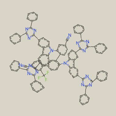 N#Cc1ccc(-c2cc(-c3ccc(C#N)cc3C(F)(F)F)ccc2-n2c3ccc(-c4nc(-c5ccccc5)nc(-c5ccccc5)n4)cc3c3cc(-c4nc(-c5ccccc5)nc(-c5ccccc5)n4)ccc32)c(-n2c3ccc(-c4nc(-c5ccccc5)nc(-c5ccccc5)n4)cc3c3cc(-c4nc(-c5ccccc5)nc(-c5ccccc5)n4)ccc32)c1